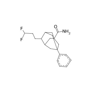 NC(=O)C12CC3CC(c4ccccc4)(CC(C1)C3CCC(F)F)C2